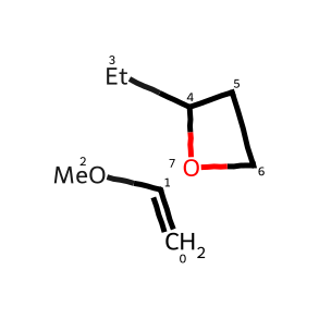 C=COC.CCC1CCO1